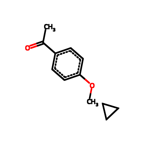 C1CC1.COc1ccc(C(C)=O)cc1